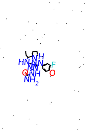 CCC(Nc1nc(NC(N)=O)nc(Nc2ccc(OC)c(F)c2)n1)C1CCCN1